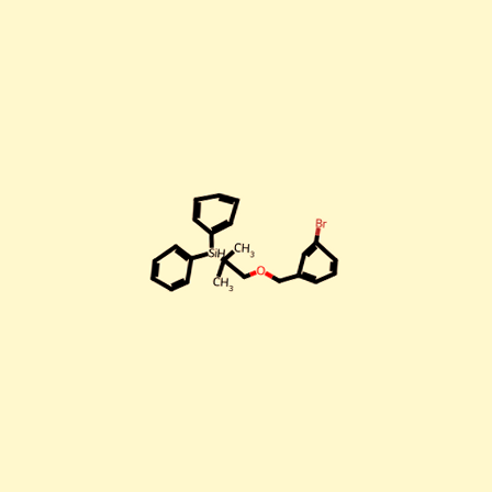 CC(C)(COCc1cccc(Br)c1)[SiH](c1ccccc1)c1ccccc1